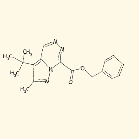 Cc1nn2c(C(=O)OCc3ccccc3)nncc2c1C(C)(C)C